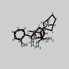 Cc1cc(N2C3CCC2CN(C(/C=C(\N)c2ccccc2O)=C(N)N)C3)ccn1